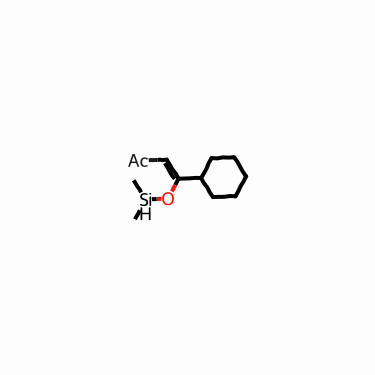 CC(=O)C=C(O[SiH](C)C)C1CCCCC1